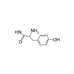 [NH]C(=O)C(N)Cc1ccc(O)cc1